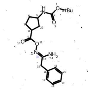 CC(C)(C)OC(=O)NC1CCC(C(=O)O/N=C(\N)Cc2ccccc2)C1